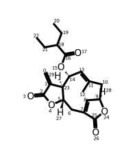 C=C1C(=O)O[C@H]2CC3=C[C@@H](C/C(C)=C/[C@@H](OC(=O)C(CC)CC)[C@H]12)OC3=O